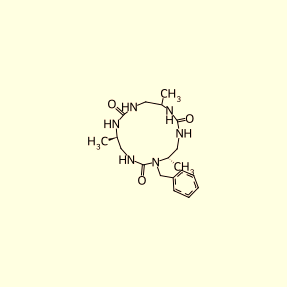 CC1CNC(=O)N[C@H](C)CNC(=O)N(Cc2ccccc2)[C@@H](C)CNC(=O)N1